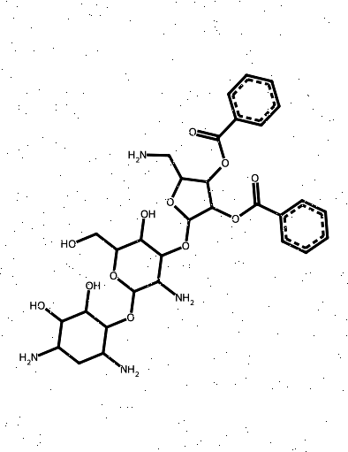 NCC1OC(OC2C(N)C(OC3C(N)CC(N)C(O)C3O)OC(CO)C2O)C(OC(=O)c2ccccc2)C1OC(=O)c1ccccc1